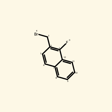 Fc1c(CBr)ccc2ccccc12